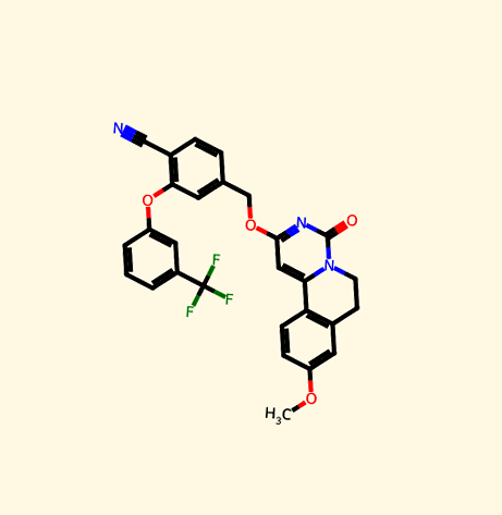 COc1ccc2c(c1)CCn1c-2cc(OCc2ccc(C#N)c(Oc3cccc(C(F)(F)F)c3)c2)nc1=O